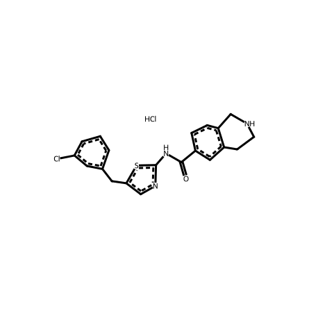 Cl.O=C(Nc1ncc(Cc2cccc(Cl)c2)s1)c1ccc2c(c1)CCNC2